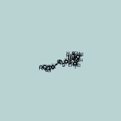 COc1cc(C(=O)N2CCO[C@H](C#Cc3ccc4c(c3)CN(C3CCC(=O)NC3=O)C4=O)C2)ccc1NC(=O)[C@@H]1N[C@@H](CC(C)(C)C)[C@@]2(CNc3cc(Cl)ccc32)[C@H]1c1cccc(Cl)c1F